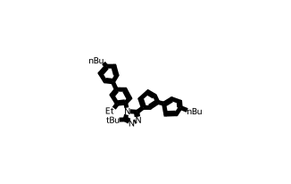 CCCCc1ccc(-c2cccc(-c3nnc(C(C)(C)C)n3-c3ccc(-c4ccc(CCCC)cc4)cc3CC)c2)cc1